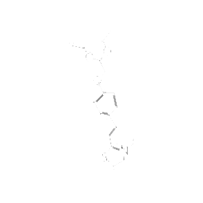 CCOC(COc1ccc(/C=C/C2=[N+](C)CCS2)cc1)OCC